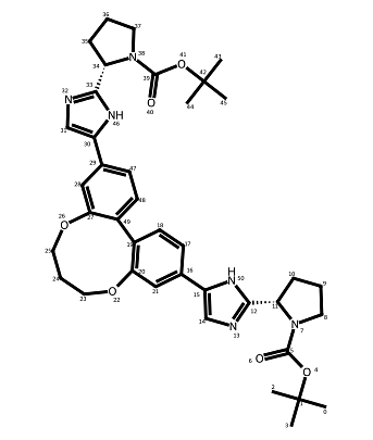 CC(C)(C)OC(=O)N1CCC[C@H]1c1ncc(-c2ccc3c(c2)OCCCOc2cc(-c4cnc([C@@H]5CCCN5C(=O)OC(C)(C)C)[nH]4)ccc2-3)[nH]1